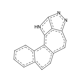 c1ccc2c(c1)ccc1ccc3nnc4[nH]c(c34)c12